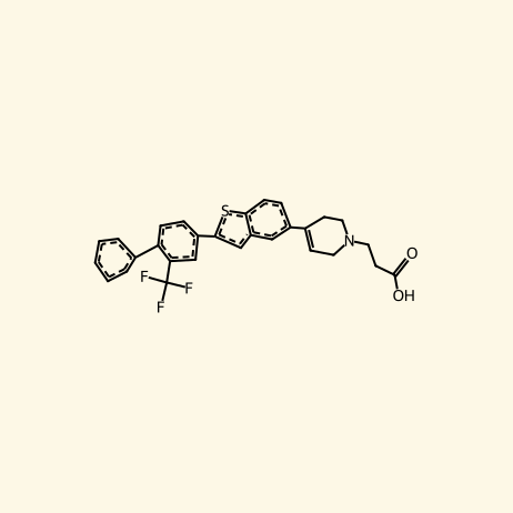 O=C(O)CCN1CC=C(c2ccc3sc(-c4ccc(-c5ccccc5)c(C(F)(F)F)c4)cc3c2)CC1